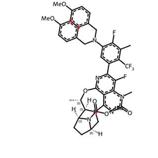 COc1ccc(CN(Cc2ccc(OC)cc2)c2cc(-c3nc4c5c(nc(=O)n(C)c5c3F)N3C[C@H]5CC[C@@H]([C@H]3[C@H](C)O4)N5C(=O)OC(C)(C)C)c(C(F)(F)F)c(C)c2F)cc1